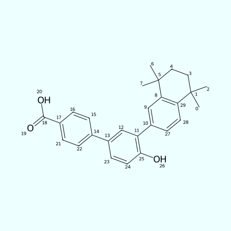 CC1(C)CCC(C)(C)c2cc(-c3cc(-c4ccc(C(=O)O)cc4)ccc3O)ccc21